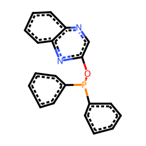 c1ccc(P(Oc2cnc3ccccc3n2)c2ccccc2)cc1